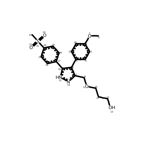 COc1ccc(-c2c(COCCCO)n[nH]c2-c2ccc(S(C)(=O)=O)cc2)cc1